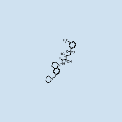 O=C(N[C@@H]1CCCc2cc(CN3CCCCC3)ccc21)[C@H](O)[C@H](O)CS(=O)(=O)c1cccc(C(F)(F)F)c1